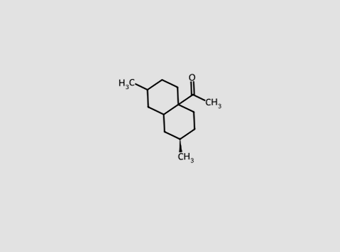 CC(=O)C12CCC(C)CC1C[C@H](C)CC2